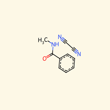 CNC(=O)c1ccccc1.N#CC#N